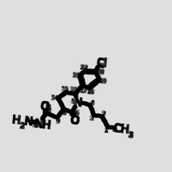 CCCCCN1C(=O)C(CC(=O)NN)CCC1c1ccc(Cl)cc1